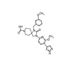 COc1cccc(CN2C(=O)N(c3ccc(-c4cn[nH]c4)c(OC)n3)CC23CCN(C(=O)O)CC3)c1